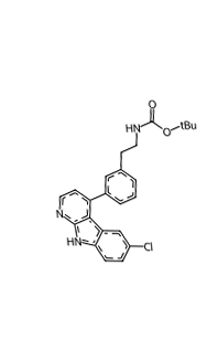 CC(C)(C)OC(=O)NCCc1cccc(-c2ccnc3[nH]c4ccc(Cl)cc4c23)c1